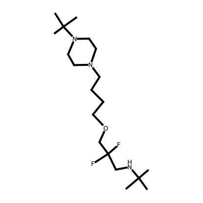 CC(C)(C)NCC(F)(F)COCCCCN1CCN(C(C)(C)C)CC1